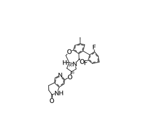 Cc1cc2c(c(-c3c(F)cccc3F)c1)C(=O)N1C[C@@H](Oc3cc4c(cn3)CCC(=O)N4)C[C@@H]1CO2